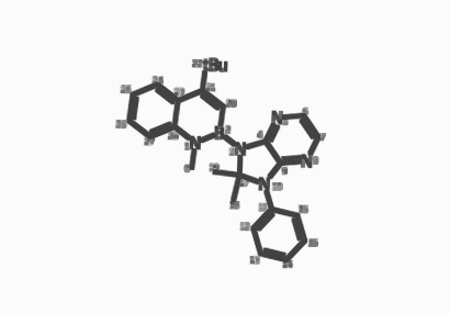 CN1B(N2c3nccnc3N(c3ccccc3)C2(C)C)C=C(C(C)(C)C)c2ccccc21